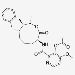 COc1ccnc(C(=O)N[C@H]2CCC[C@H](Cc3ccccc3)[C@@H](C)[C@H](C)OC2=O)c1OC(C)=O